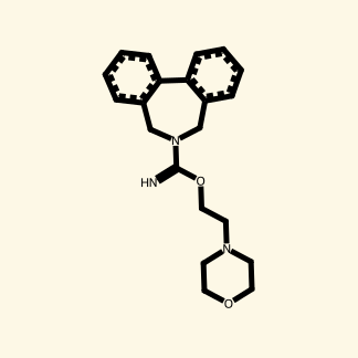 N=C(OCCN1CCOCC1)N1Cc2ccccc2-c2ccccc2C1